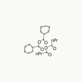 CCCC(=O)OC(=O)CCC.O=C(OC(=O)c1ccccc1)c1ccccc1